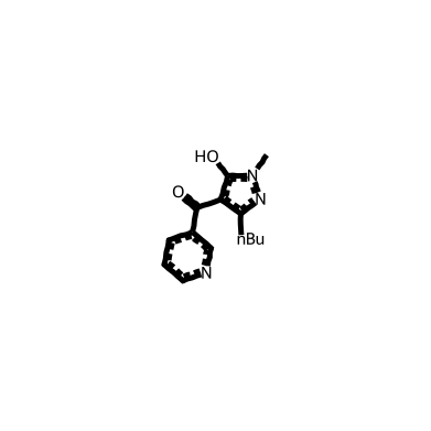 CCCCc1nn(C)c(O)c1C(=O)c1cccnc1